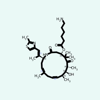 C/C1=C/C[C@@H](/C(C)=C/c2csc(C)n2)NC(=O)C[C@H](OC(=O)CCCCCN)C(C)(C)C(=O)[C@H](C)[C@@H](O)[C@@H](C)/C=C\C1